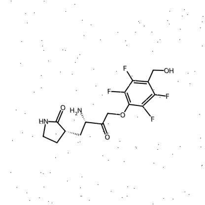 N[C@@H](C[C@@H]1CCNC1=O)C(=O)COc1c(F)c(F)c(CO)c(F)c1F